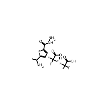 CC(N)c1ccc(C(=O)NN)s1.O=C(O)C(F)(F)F.O=C(O)C(F)(F)F